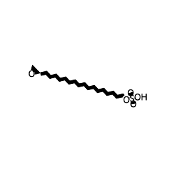 C1CO1.CCCCCCCCCCCCCCCCCCOS(=O)(=O)O